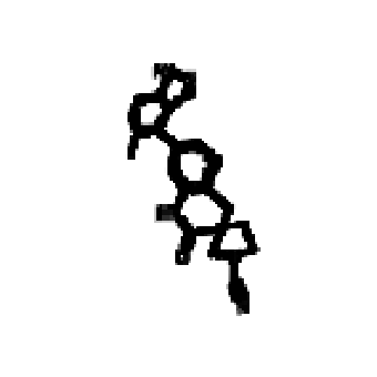 Cc1ccc2[nH]ncc2c1-c1ccc2c(c1)NC(=O)[C@@]1(CCN(C#N)C1)C2